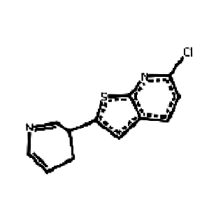 Clc1ccc2cc(C3C=NC=CC3)sc2n1